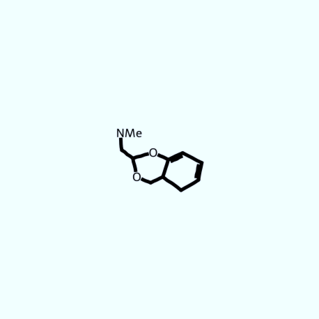 CNCC1OCC2CC=CC=C2O1